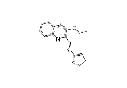 CCOc1nc2ccccc2nc1CSC1=CCCS1